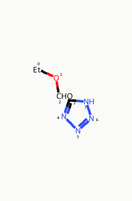 CCOC=O.c1nnn[nH]1